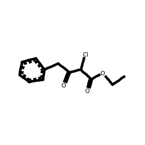 CCOC(=O)C(Cl)C(=O)Cc1ccccc1